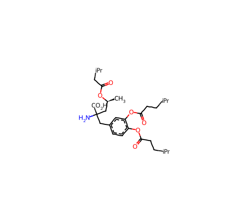 CC(C)CCC(=O)Oc1ccc(CC(N)(C[C@H](C)OC(=O)CC(C)C)C(=O)O)cc1OC(=O)CCC(C)C